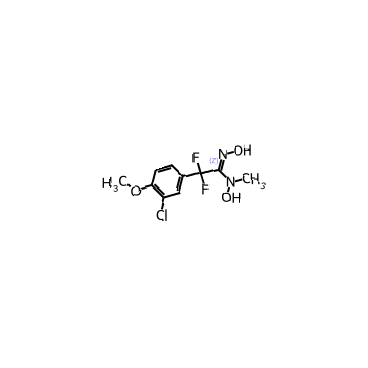 COc1ccc(C(F)(F)/C(=N/O)N(C)O)cc1Cl